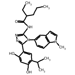 CCCC(CC)C(=O)Nc1nnc(-c2cc(C(C)C)c(O)cc2O)n1-c1ccc2c(ccn2C)c1